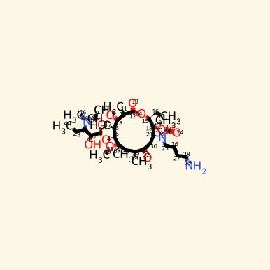 CCO[C@@H](O[C@@H]1[C@@H](C)C(=O)[C@@H](C)C(=O)O[C@H](CC)[C@@](C)(O)[C@H](N(C=O)CCCCN)CC(=O)[C@H](C)C[C@@]1(C)OC)C(O)C(CC)N(C)C